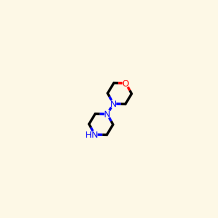 C1CN(N2CCOCC2)CCN1